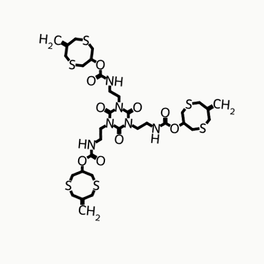 C=C1CSCC(OC(=O)NCCn2c(=O)n(CCNC(=O)OC3CSCC(=C)CSC3)c(=O)n(CCNC(=O)OC3CSCC(=C)CSC3)c2=O)CSC1